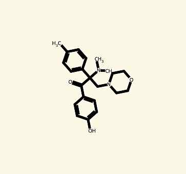 Cc1ccc(C(CN2CCOCC2)(C(=O)c2ccc(O)cc2)N(C)C)cc1